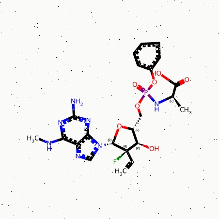 C=C[C@@]1(F)[C@H](O)[C@@H](COP(=O)(N[C@H](C)C(=O)O)Oc2ccccc2)O[C@H]1n1cnc2c(NC)nc(N)nc21